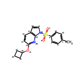 Cc1ccc(S(=O)(=O)n2ccc3ccc(OC4CCC4)nc32)cc1